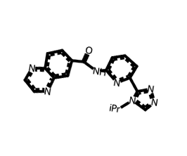 CC(C)n1cnnc1-c1cccc(NC(=O)c2ccc3nccnc3c2)n1